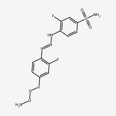 NOOSc1ccc(N=NNc2ccc(S(N)(=O)=O)cc2F)c(F)c1